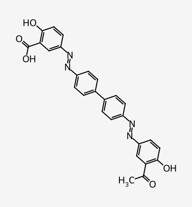 CC(=O)c1cc(/N=N/c2ccc(-c3ccc(/N=N/c4ccc(O)c(C(=O)O)c4)cc3)cc2)ccc1O